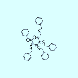 c1ccc(CSC[C@H]2O[C@H](Oc3ccccc3)[C@@H](SCc3ccccc3)[C@H](SCc3ccccc3)[C@@H]2SCc2ccccc2)cc1